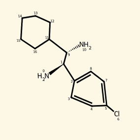 N[C@H](c1ccc(Cl)cc1)[C@@H](N)C1CCCCC1